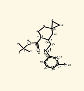 CC(C)(C)OC(=O)N1CCC2(CC2)C[C@H]1CNc1cccc(F)n1